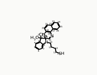 CC1(C)c2ccccc2N(CCCCS)C12C=Nc1c(ccc3ccccc13)O2